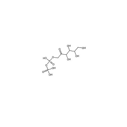 O=C(COP(=O)(O)OP(=O)(O)O)C(O)C(O)C(O)CO